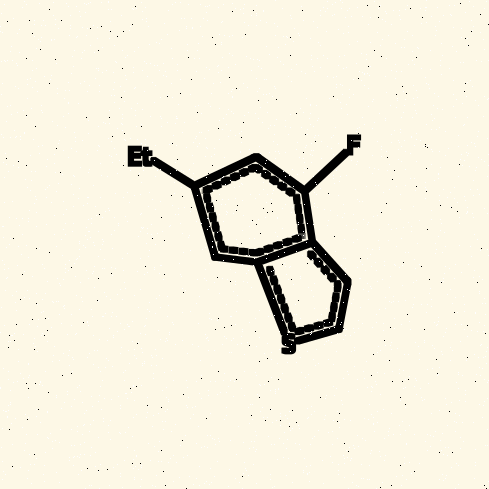 CCc1cc(F)c2ccsc2c1